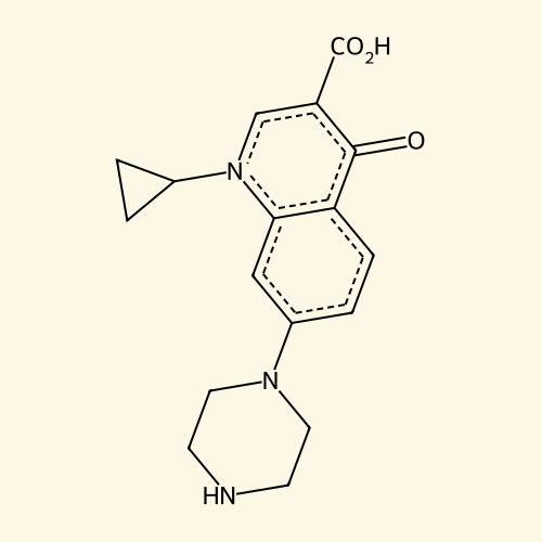 O=C(O)c1cn(C2CC2)c2cc(N3CCNCC3)ccc2c1=O